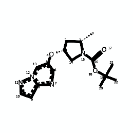 C[C@H]1C[C@@H](Oc2cnc3ccnn3c2)CN1C(=O)OC(C)(C)C